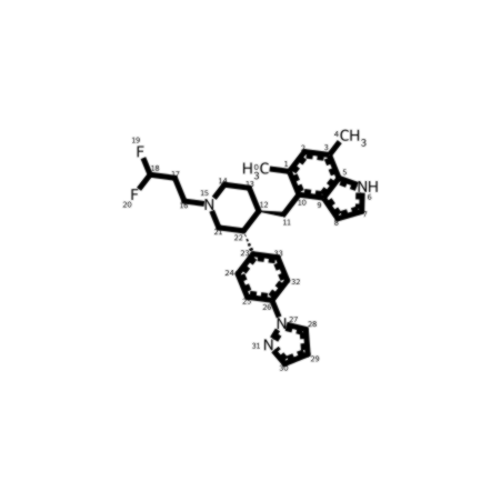 Cc1cc(C)c2[nH]ccc2c1C[C@@H]1CCN(CCC(F)F)C[C@H]1c1ccc(-n2cccn2)cc1